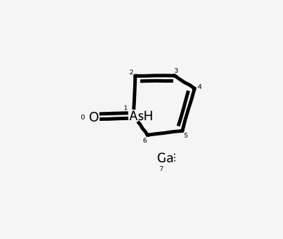 O=[AsH]1C=CC=CC1.[Ga]